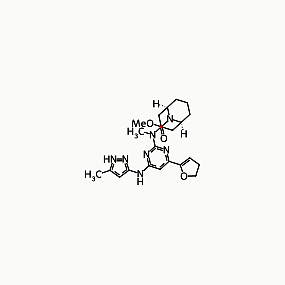 COC(=O)N1[C@@H]2CCC[C@H]1CC(N(C)c1nc(Nc3cc(C)[nH]n3)cc(C3=CCCO3)n1)C2